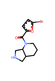 O=C(c1ccc(Br)o1)N1CCCC2CNCC21